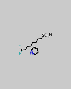 O=S(=O)(O)CCCCCCCC(F)F.c1ccncc1